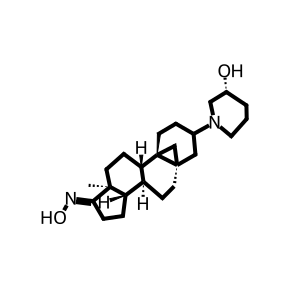 C[C@]12CC[C@H]3[C@@H](CC[C@]45CC(N6CCC[C@@H](O)C6)CC[C@]34C5)[C@@H]1CCC2=NO